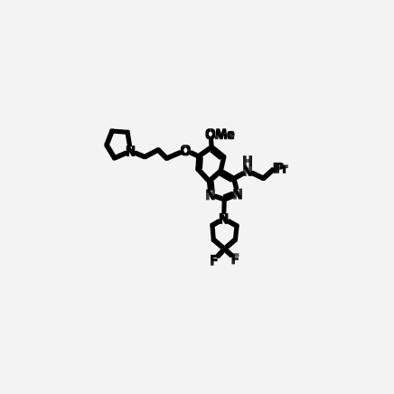 COc1cc2c(NCC(C)C)nc(N3CCC(F)(F)CC3)nc2cc1OCCCN1CCCC1